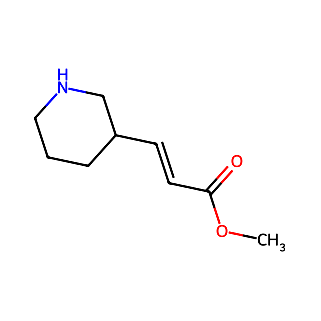 COC(=O)C=CC1CCCNC1